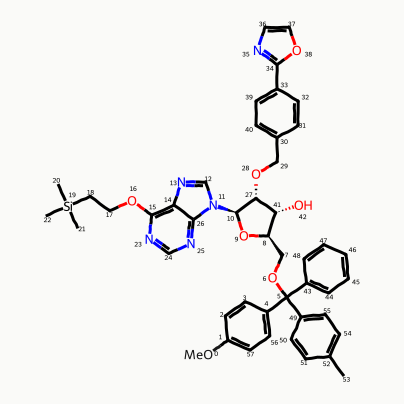 COc1ccc(C(OC[C@H]2O[C@@H](n3cnc4c(OCC[Si](C)(C)C)ncnc43)[C@H](OCc3ccc(-c4ncco4)cc3)[C@@H]2O)(c2ccccc2)c2ccc(C)cc2)cc1